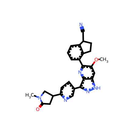 COc1cc2[nH]nc(-c3ccc(C4CC(=O)N(C)C4)nc3)c2nc1-c1cccc2c1CCC2C#N